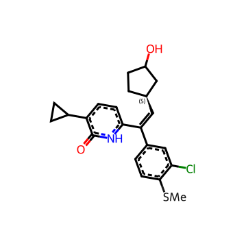 CSc1ccc(C(=C[C@H]2CCC(O)C2)c2ccc(C3CC3)c(=O)[nH]2)cc1Cl